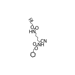 C[Si](C)(C)CCOC(=O)NCCCC[C@@H](C#N)NC(=O)OCc1ccccc1